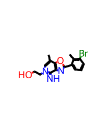 Cc1c(Br)cccc1-c1nc2c(=N)n(CCO)cc(C)c2o1